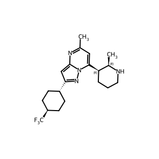 Cc1cc([C@@H]2CCCN[C@@H]2C)n2nc([C@H]3CC[C@H](C(F)(F)F)CC3)cc2n1